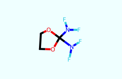 FN(F)C1(N(F)F)OCCO1